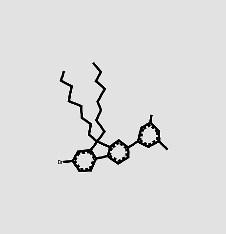 CCCCCCCCC1(CCCCCCCC)c2cc(Br)ccc2-c2ccc(-c3cc(C)cc(C)c3)cc21